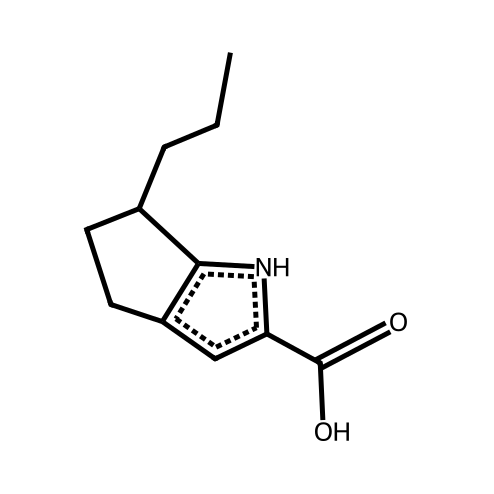 CCCC1CCc2cc(C(=O)O)[nH]c21